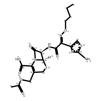 CCCCON=C(C(=O)N[C@@H]1C(=O)N2C(C(=O)O)=C(COC(C)=O)CS[C@H]12)c1csc(N)n1